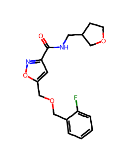 O=C(NCC1CCOC1)c1cc(COCc2ccccc2F)on1